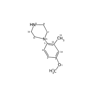 COc1ccc(N2CCNCC2)c(C)c1